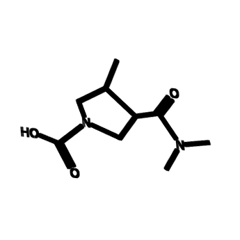 CC1CN(C(=O)O)CC1C(=O)N(C)C